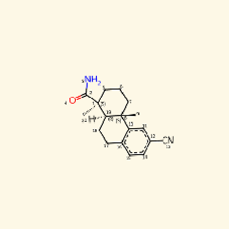 C[C@]1(C(N)=O)CCC[C@]2(C)c3cc(C#N)ccc3CC[C@@H]12